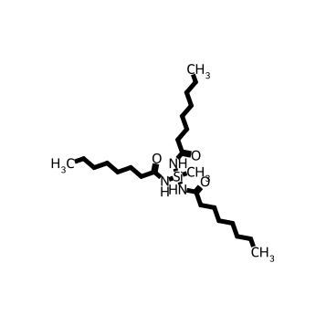 CCCCCCCC(=O)N[Si](C)(NC(=O)CCCCCCC)NC(=O)CCCCCCC